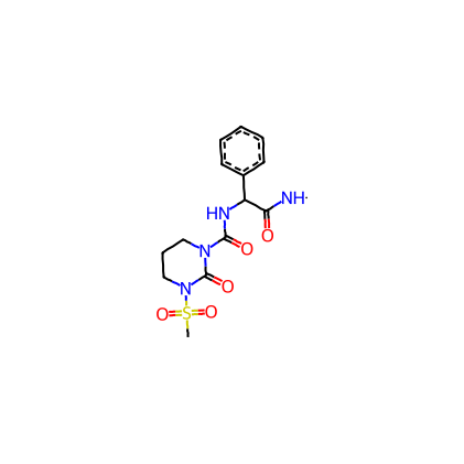 CS(=O)(=O)N1CCCN(C(=O)NC(C([NH])=O)c2ccccc2)C1=O